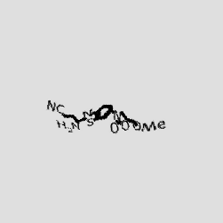 COCC1CN(c2ccc3nc(C(N)CCC#N)sc3c2)C(=O)O1